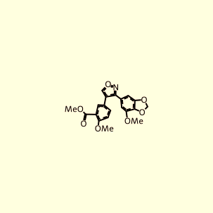 COC(=O)c1cc(-c2conc2-c2cc(OC)c3c(c2)OCO3)ccc1OC